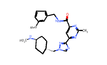 COc1cccc(CNC(=O)c2cc(-c3ncn(C[C@H]4CC[C@H](NC(=O)O)CC4)n3)nc(C)n2)c1